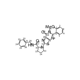 COc1ccccc1-c1nc2sc(N3CCCC3C(=O)NCc3ccccc3)nc2c(=O)n1C